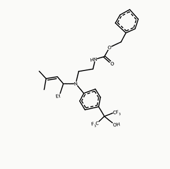 CCC(C=C(C)C)N(CCNC(=O)OCc1ccccc1)c1ccc(C(O)(C(F)(F)F)C(F)(F)F)cc1